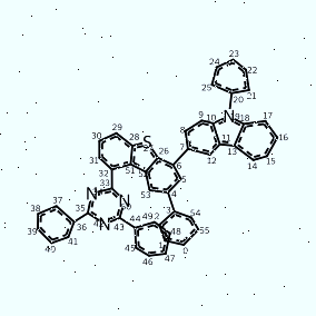 c1ccc(-c2cc(-c3ccc4c(c3)c3ccccc3n4-c3ccccc3)c3sc4cccc(-c5nc(-c6ccccc6)nc(-c6ccccc6)n5)c4c3c2)cc1